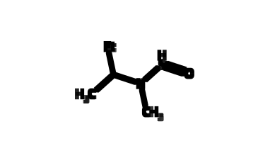 CCC(C)N(C)[SH]=O